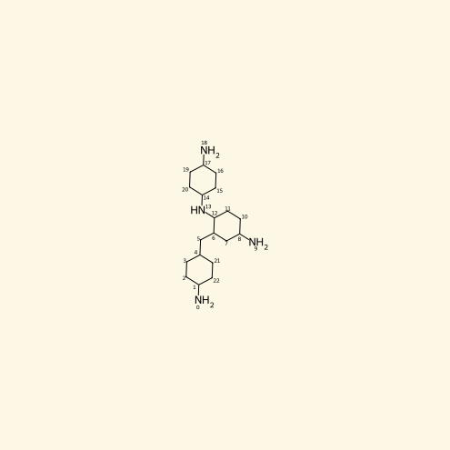 NC1CCC(CC2CC(N)CCC2NC2CCC(N)CC2)CC1